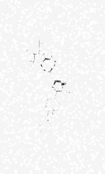 CC(C)n1nc(-c2cnc3c(c2)C(C)(C)C(=O)N3)cc1C1CCN(C2COC2)CC1